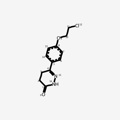 O=C1CCC(c2ccc(OCCCl)cc2)=NN1